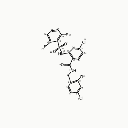 O=C(NCc1ccc(Cl)cc1Cl)c1ccc(Cl)cc1NS(=O)(=O)c1c(F)cccc1F